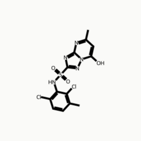 Cc1cc(O)n2nc(S(=O)(=O)Nc3c(Cl)ccc(C)c3Cl)nc2n1